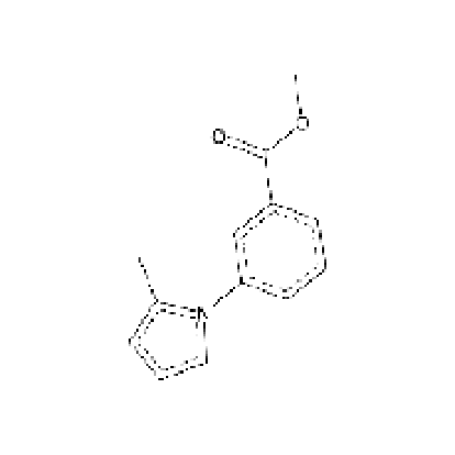 COC(=O)c1cccc(-n2cccc2C)c1